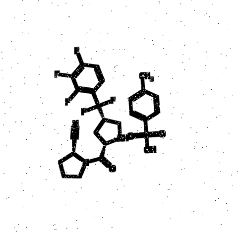 Cc1ccc(S(=O)(=O)O)cc1.N#C[C@@H]1CCCN1C(=O)[C@@H]1C[C@H](C(F)(F)c2ccc(F)c(F)c2F)CN1